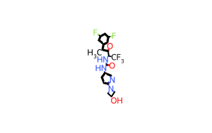 Cc1c(C(NC(=O)Nc2ccc(N3CC(O)C3)nc2)C(F)(F)F)oc2c(F)cc(F)cc12